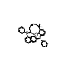 CC1(C)C/C=C\C=C(\P(c2ccccc2)c2ccccc2)COc2c(P(c3ccccc3)c3ccccc3)cccc21